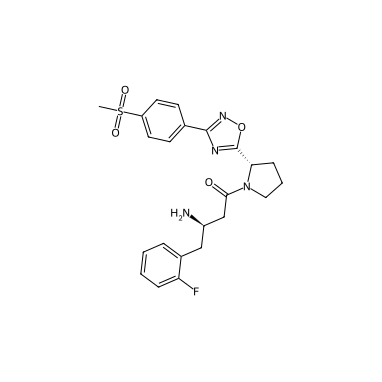 CS(=O)(=O)c1ccc(-c2noc([C@@H]3CCCN3C(=O)C[C@H](N)Cc3ccccc3F)n2)cc1